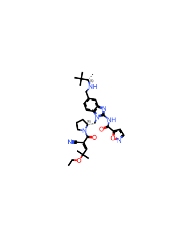 CCOC(C)(C)C=C(C#N)C(=O)N1CCC[C@@H]1Cn1c(NC(=O)c2ccno2)nc2cc(CN[C@@H](C)C(C)(C)C)ccc21